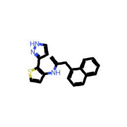 C=C(Cc1cccc2ccccc12)Nc1ccsc1-c1cc[nH]n1